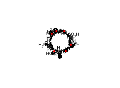 CCCC[C@H]1C(=O)N[C@@H](Cc2ccc(O)cc2)C(=O)N2CCC[C@@H]2C(=O)N[C@@H](Cc2c[nH]c3ccccc23)C(=O)N[C@@H](Cc2ccc(O)cc2)C(=O)N[C@@H](CC(C)C)C(=O)N[C@H](C(=O)NCC(N)=O)CSCC(=O)N[C@@H](Cc2cc(F)c(F)c(F)c2)C(=O)N(C)[C@@H](Cc2ccccc2)C(=O)N(C)[C@@H](CCCC)C(=O)N2CCC[C@@H]2C(=O)N[C@@H](CC(=O)O)C(=O)N[C@@H](C(C)C)C(=O)N1C